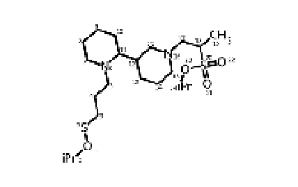 CC(C)OSCCCN1CCCCC1C1CCCN(CC(C)S(=O)(=O)OC(C)C)C1